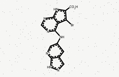 O=C(O)c1[nH]c2ncnc(Nc3cnc4[nH]ncc4c3)c2c1Br